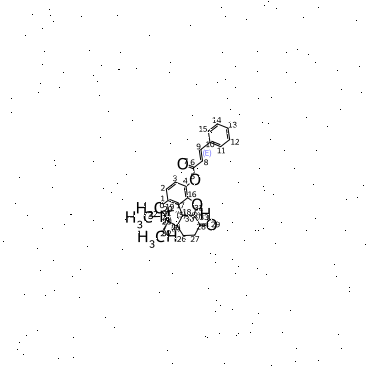 Cc1ccc(OC(=O)/C=C/c2ccccc2)c2c1[C@]13CCN(C)[C@H](C)[C@@H]1CCC(=O)[C@@H]3O2